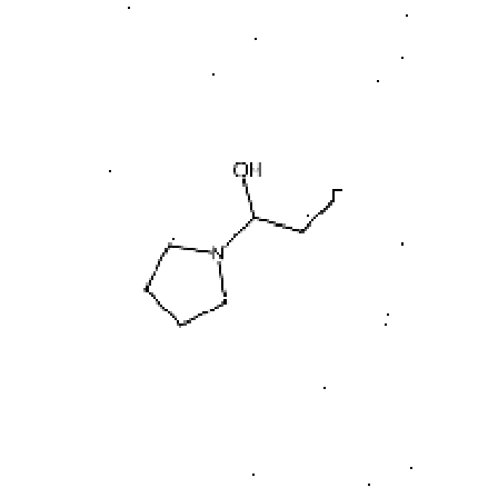 OC(CF)N1CCCC1